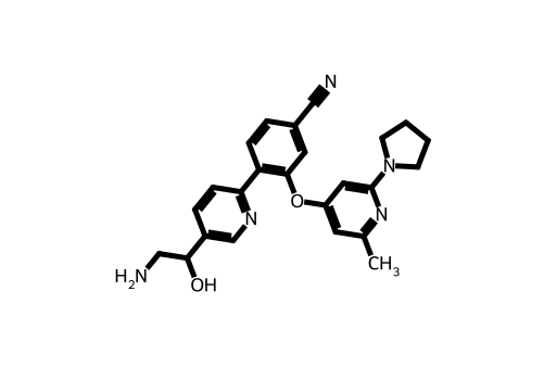 Cc1cc(Oc2cc(C#N)ccc2-c2ccc(C(O)CN)cn2)cc(N2CCCC2)n1